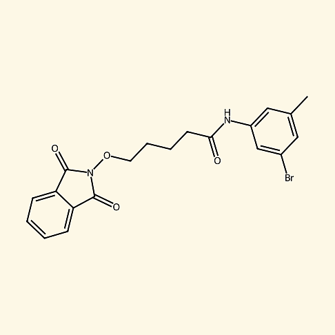 Cc1cc(Br)cc(NC(=O)CCCCON2C(=O)c3ccccc3C2=O)c1